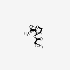 C=CC(=O)ON1CCOC1=C(C)C